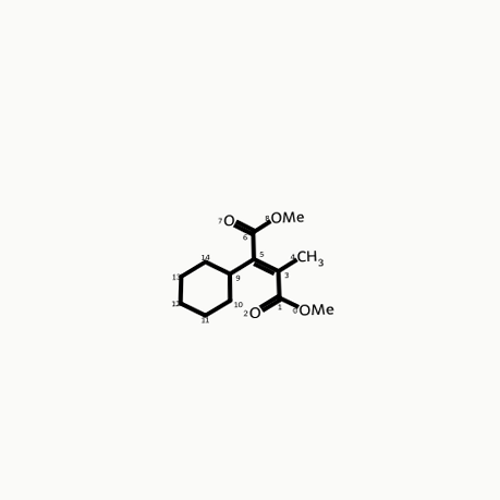 COC(=O)C(C)=C(C(=O)OC)C1CCCCC1